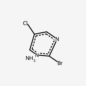 Clc1cnc(Br)nc1.N